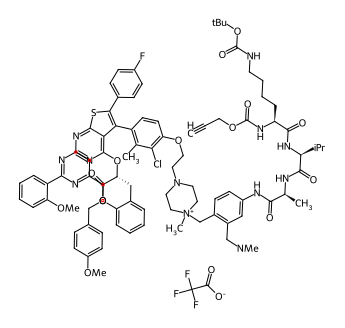 C#CCOC(=O)N[C@@H](CCCCNC(=O)OC(C)(C)C)C(=O)N[C@H](C(=O)N[C@@H](C)C(=O)Nc1ccc(C[N+]2(C)CCN(CCOc3ccc(-c4c(-c5ccc(F)cc5)sc5ncnc(O[C@H](Cc6ccccc6OCc6ccnc(-c7ccccc7OC)n6)C(=O)OCc6ccc(OC)cc6)c45)c(C)c3Cl)CC2)c(CNC)c1)C(C)C.O=C([O-])C(F)(F)F